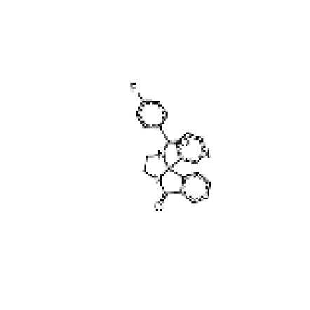 O=C(c1ccc(F)cc1)N1CCN2C(=O)c3ccccc3C12c1cccnc1